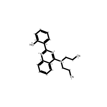 N#CCCN(CCC#N)c1nc(-c2ccccc2O)nc2ccccc12